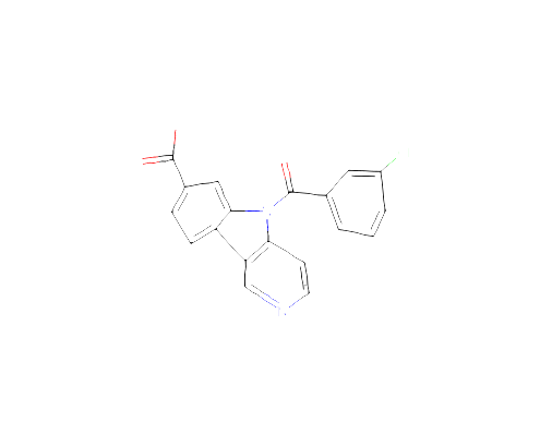 O=C(O)c1ccc2c3cnccc3n(C(=O)c3cccc(Cl)c3)c2c1